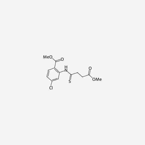 COC(=O)CCC(=S)Nc1cc(Cl)ccc1C(=O)OC